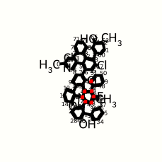 Cc1ccc(-c2c(-c3ccc(-c4cccc(O)c4-c4ccc(F)cc4-c4cccc(O)c4-c4cccc(F)c4)c(-c4nccc(C)c4-c4ccccc4)c3Cl)[c]c(Cl)c(-c3ccc(C)c(O)c3)c2-c2ccccc2Cl)cn1